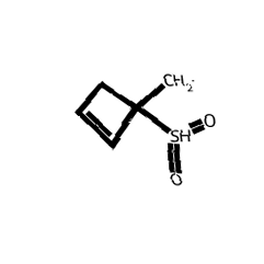 [CH2]C1([SH](=O)=O)C=CC1